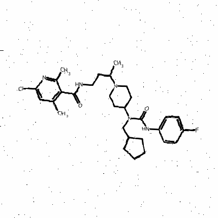 Cc1cc(Cl)nc(C)c1C(=O)NCCC(C)N1CCC(N(CC2CCCC2)C(=O)Nc2ccc(F)cc2)CC1